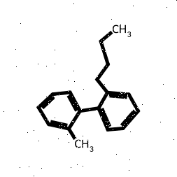 CCCCc1ccccc1-c1ccccc1C